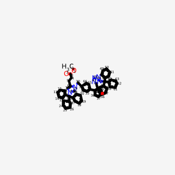 COC(=O)CCC1=CN(C(c2ccccc2)(c2ccccc2)c2ccccc2)CN1Cc1ccc(-c2ccccc2-c2nnnn2C(c2ccccc2)(c2ccccc2)c2ccccc2)cc1